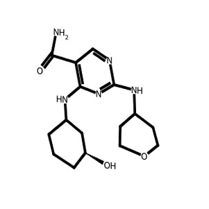 NC(=O)c1cnc(NC2CCOCC2)nc1NC1CCC[C@H](O)C1